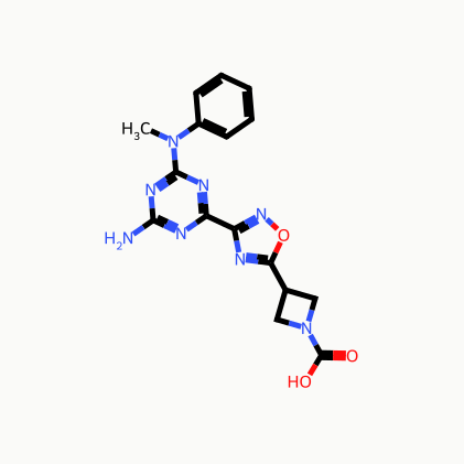 CN(c1ccccc1)c1nc(N)nc(-c2noc(C3CN(C(=O)O)C3)n2)n1